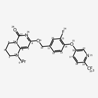 CC(C)N1CCCn2c1cc(OCc1ccc(Oc3ccc(C(F)(F)F)nc3)c(F)c1)nc2=O